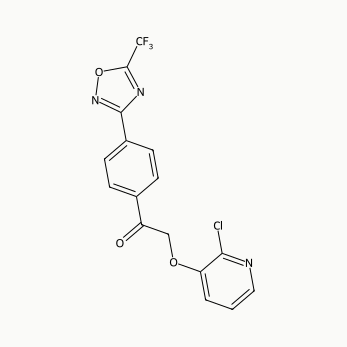 O=C(COc1cccnc1Cl)c1ccc(-c2noc(C(F)(F)F)n2)cc1